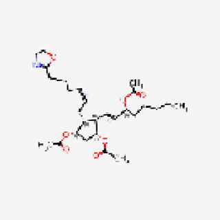 CCCCC[C@@H](/C=C/[C@@H]1[C@@H](C/C=C\CCCC2=NCCO2)[C@@H](OC(C)=O)C[C@H]1OC(C)=O)OC(C)=O